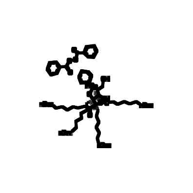 CCCCCCCCCCCCCCCCO[C@@](CCCCCCCCCCCCCCCC)(C(=O)CCCCCCCCCCCCCCCC)[C@@](CCCCCCCCCCCCCCCC)(OC(=O)c1ccccc1)[C@H](O)[C@H](O)CO.O=C(OOC(=O)c1ccccc1)c1ccccc1